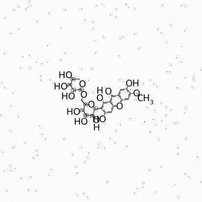 COc1cc2oc3cc(O)c([C@@H]4O[C@H](CO[C@@H]5OC[C@@H](O)[C@@H](O)[C@@H]5O)[C@@H](O)[C@H](O)[C@H]4O)c(O)c3c(=O)c2cc1O